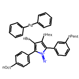 CCCCCCCCc1ccc(C2=C(CCCC)C(CCCCCC)=C(c3cccc(CCCCC)c3)[N+]2=[N-])cc1.c1cc[c]([Pd][c]2ccccc2)cc1